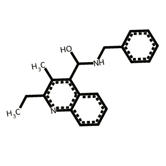 CCc1nc2ccccc2c(C(O)NCc2ccccc2)c1C